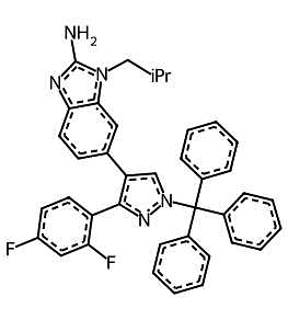 CC(C)Cn1c(N)nc2ccc(-c3cn(C(c4ccccc4)(c4ccccc4)c4ccccc4)nc3-c3ccc(F)cc3F)cc21